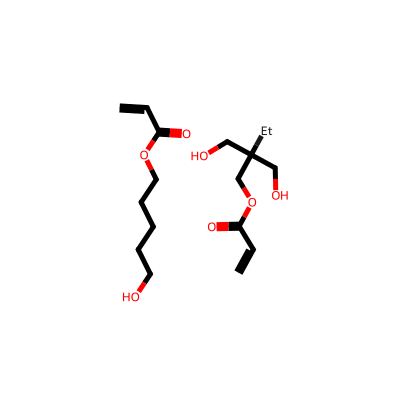 C=CC(=O)OCC(CC)(CO)CO.C=CC(=O)OCCCCCO